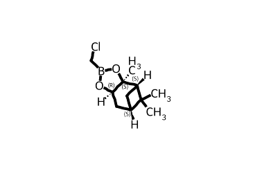 CC1(C)[C@@H]2C[C@H]3OB(CCl)O[C@@]3(C)[C@H]1C2